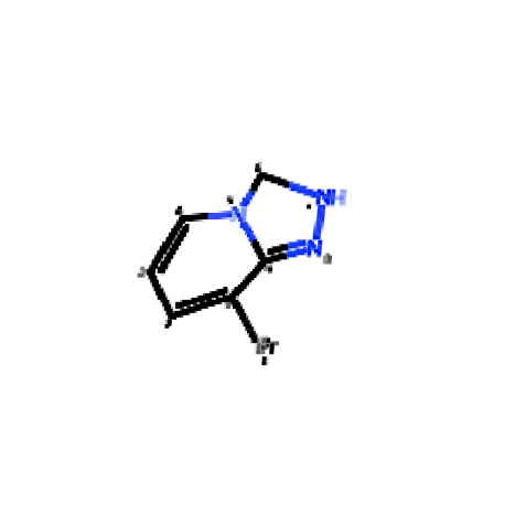 CC(C)C1=CC=CN2CNN=C12